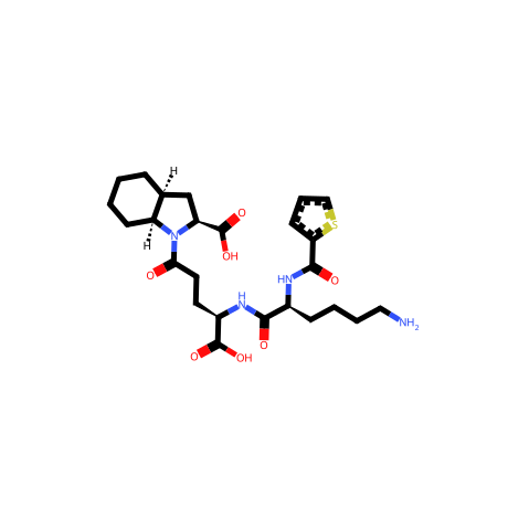 NCCCC[C@H](NC(=O)c1cccs1)C(=O)N[C@H](CCC(=O)N1[C@H](C(=O)O)C[C@@H]2CCCC[C@@H]21)C(=O)O